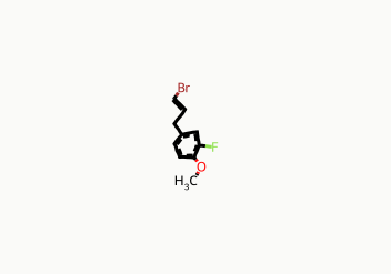 COc1ccc(CC=CBr)cc1F